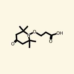 CC1(C)CC(=O)CC(C)(C)N1OCCC(=O)O